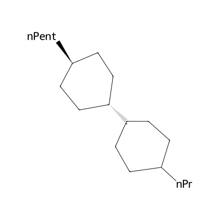 CCCCC[C@H]1CC[C@H]([C]2CCC(CCC)CC2)CC1